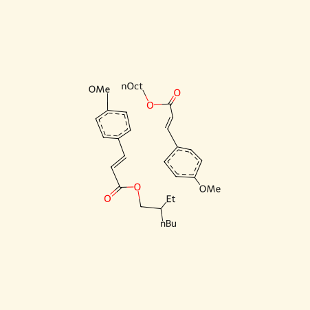 CCCCC(CC)COC(=O)C=Cc1ccc(OC)cc1.CCCCCCCCOC(=O)C=Cc1ccc(OC)cc1